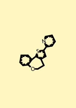 c1ccc(-c2cc3c(s2)-c2ccccc2OCC3)nc1